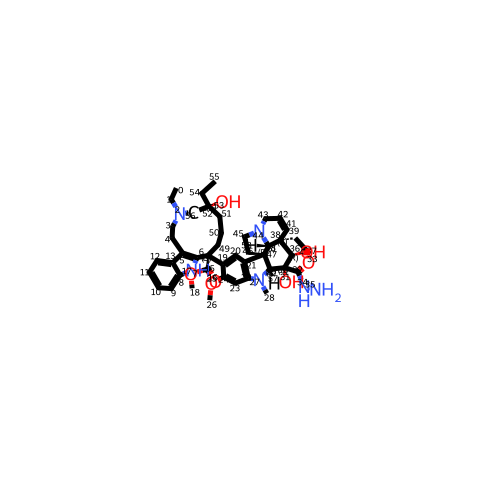 CCN1CCc2c([nH]c3ccccc23)[C@@](C(=O)OC)(c2cc3c(cc2OC)N(C)[C@H]2[C@@](O)(C(=O)NN)[C@H](O)[C@]4(CC)C=CCN5CC[C@]32[C@H]54)CCC[C@@](O)(CC)C1